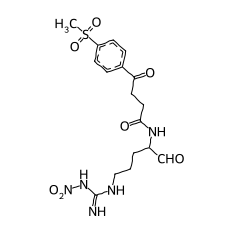 CS(=O)(=O)c1ccc(C(=O)CCC(=O)NC(C=O)CCCNC(=N)N[N+](=O)[O-])cc1